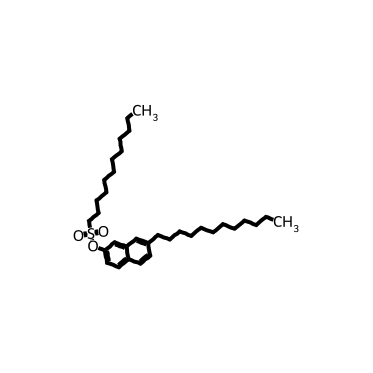 CCCCCCCCCCCCc1ccc2ccc(OS(=O)(=O)CCCCCCCCCCCC)cc2c1